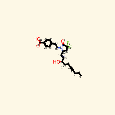 CCCC#CC[C@H](C)[C@H](O)/C=C/C1CC(F)(F)C(=O)N1CCc1ccc(C(=O)O)cc1